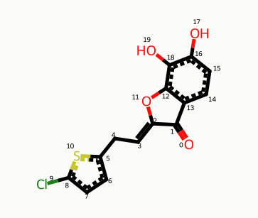 O=C1C(=CCc2ccc(Cl)s2)Oc2c1ccc(O)c2O